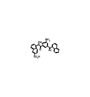 CC(=O)N(c1cc(N)cc(C(=O)N(C)c2cccc3cc(S(=O)(=O)O)ccc23)c1)c1cccc2ccccc12